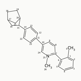 Cc1ccccc1-c1ccc(-c2ccc(C3CC4CCC3C4)cc2)c[n+]1C